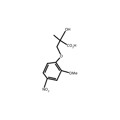 COc1cc([N+](=O)[O-])ccc1OCC(C)(O)C(=O)O